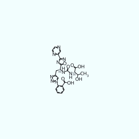 CC(O)[C@H](NC(=O)N[C@@H](Cc1cn(-c2ccccc2C(=O)O)nn1)c1nc(-c2cnccn2)no1)C(=O)O